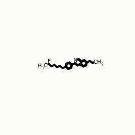 C=CCc1ccc2cc(-c3ccc(CCCCCC(C)F)cc3)ncc2c1